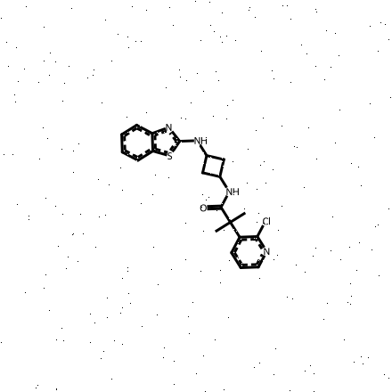 CC(C)(C(=O)NC1CC(Nc2nc3ccccc3s2)C1)c1cccnc1Cl